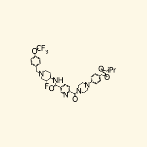 CC(C)S(=O)(=O)c1ccc(N2CCN(C(=O)c3ccc(C(=O)N[C@@H]4CCN(Cc5ccc(OC(F)(F)F)cc5)C[C@H]4F)cn3)CC2)cc1